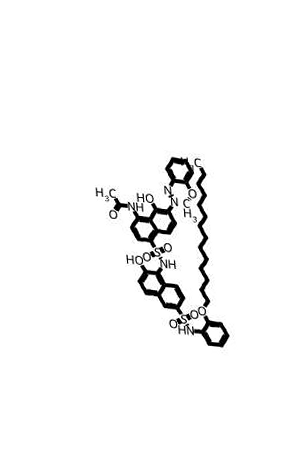 CCCCCCCCCCCCCCOc1ccccc1NS(=O)(=O)c1ccc2c(NS(=O)(=O)c3ccc(NC(C)=O)c4c(O)c(N=Nc5ccccc5OC)ccc34)c(O)ccc2c1